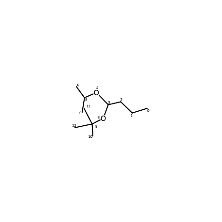 CCCC(OC(C)C)OC(C)(C)C